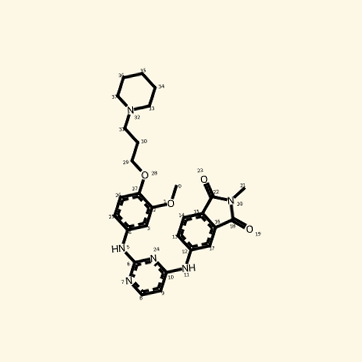 COc1cc(Nc2nccc(Nc3ccc4c(c3)C(=O)N(C)C4=O)n2)ccc1OCCCN1CCCCC1